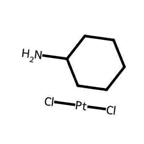 NC1CCCCC1.[Cl][Pt][Cl]